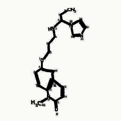 CCC(NCCCOc1ccc2c(ccc(=O)n2C)c1)n1ccnc1